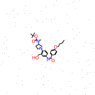 CCCCOc1ccc(C(=O)N(C)c2ccc(N3CCC(N(C)C(=O)OC(C)(C)C)C3)c(CO)c2)cc1